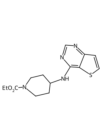 CCOC(=O)N1CCC(Nc2ncnc3ccsc23)CC1